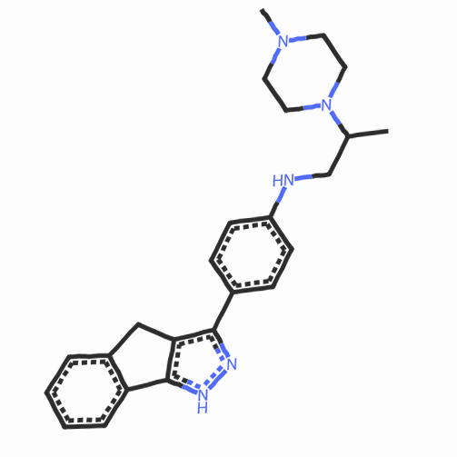 CC(CNc1ccc(-c2n[nH]c3c2Cc2ccccc2-3)cc1)N1CCN(C)CC1